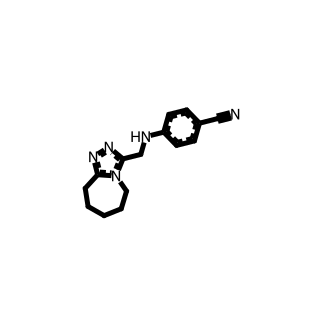 N#Cc1ccc(NCc2nnc3n2CCCCC3)cc1